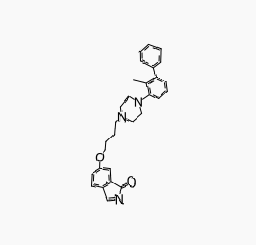 Cc1c(-c2ccccc2)cccc1N1CCN(CCCCOc2ccc3c(c2)C(=O)N=C3)CC1